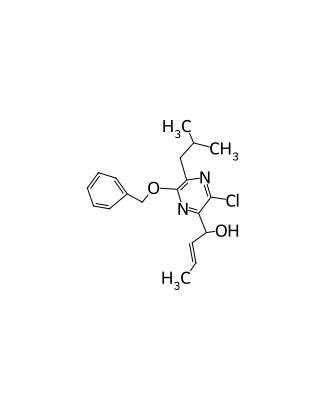 CC=CC(O)c1nc(OCc2ccccc2)c(CC(C)C)nc1Cl